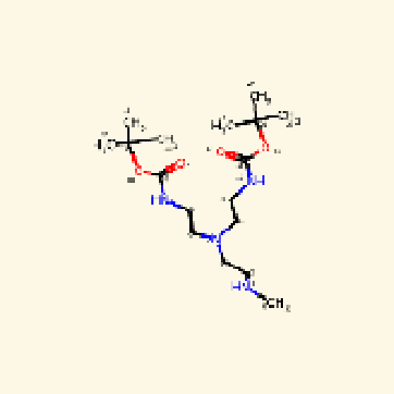 CNCCN(CCNC(=O)OC(C)(C)C)CCNC(=O)OC(C)(C)C